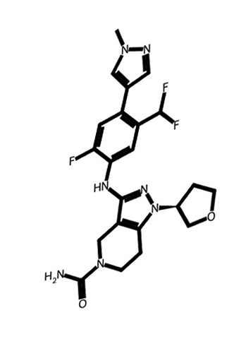 Cn1cc(-c2cc(F)c(Nc3nn([C@H]4CCOC4)c4c3CN(C(N)=O)CC4)cc2C(F)F)cn1